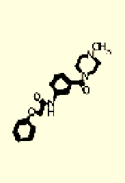 CN1CCN(C(=O)c2cccc(NC(=O)COc3ccccc3)c2)CC1